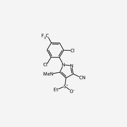 CC[S+]([O-])c1c(C#N)nn(-c2c(Cl)cc(C(F)(F)F)cc2Cl)c1NC